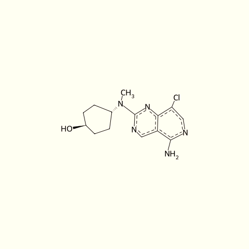 CN(c1ncc2c(N)ncc(Cl)c2n1)[C@H]1CC[C@H](O)CC1